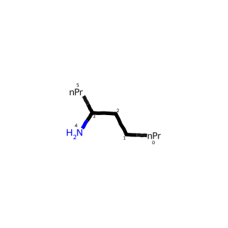 CCCCCC(N)CCC